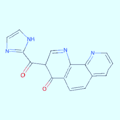 O=C(c1ncc[nH]1)C1C=Nc2c(ccc3cccnc23)C1=O